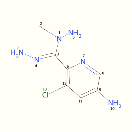 CN(N)/C(=N\N)c1ncc(N)cc1Cl